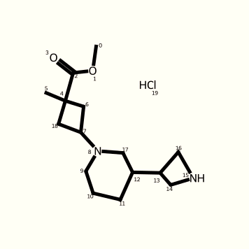 COC(=O)C1(C)CC(N2CCCC(C3CNC3)C2)C1.Cl